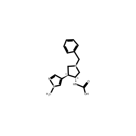 Cn1cc([C@H]2CN(Cc3ccccc3)C[C@@H]2NC(=O)O)cn1